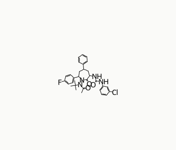 CC(=O)N(N1C(=O)C(NC(=O)Nc2cccc(Cl)c2)CC(c2ccccc2)CC1c1ccc(F)cc1)C(C)(C)C